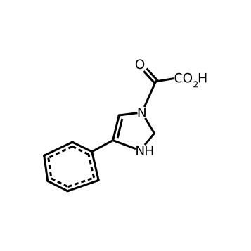 O=C(O)C(=O)N1C=C(c2ccccc2)NC1